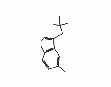 CC(C)(N)Cc1c[nH]c2ccc(Br)cc12